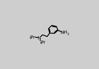 CC(C)N(CCc1cccc(N)c1)C(C)C